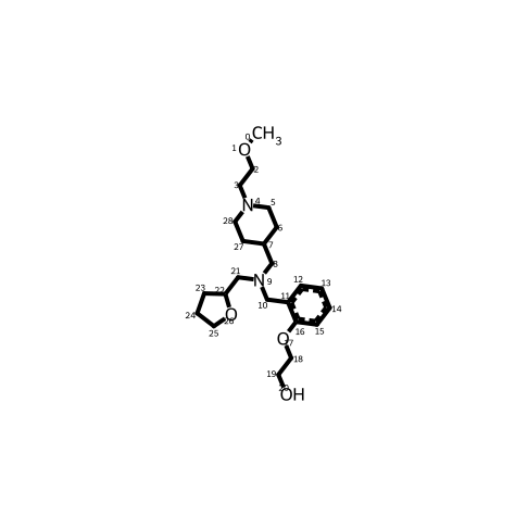 COCCN1CCC(CN(Cc2ccccc2OCCO)CC2CCCO2)CC1